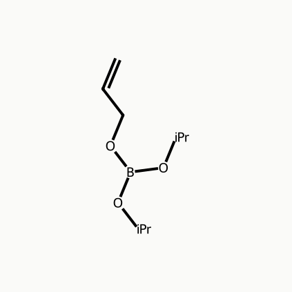 C=CCOB(OC(C)C)OC(C)C